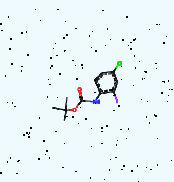 CC(C)(C)OC(=O)Nc1ccc(Cl)cc1I